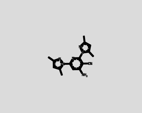 Cc1cc(C)n(-c2cc(N)c(C#N)c(-n3nc(C)cc3C)n2)n1